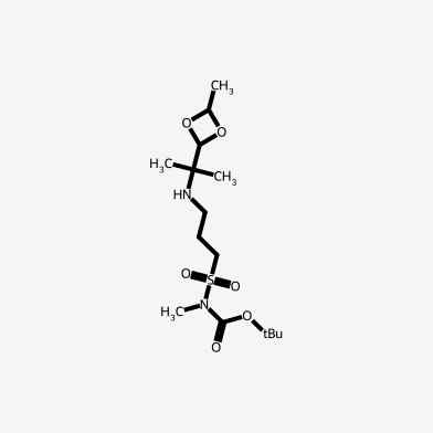 CC1OC(C(C)(C)NCCCS(=O)(=O)N(C)C(=O)OC(C)(C)C)O1